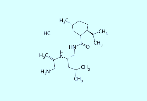 C=C(CN)N[C@H](CNC(=O)[C@@H]1C[C@H](C)CC[C@H]1C(C)C)CC(C)C.Cl